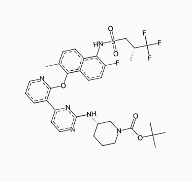 Cc1ccc2c(NS(=O)(=O)C[C@@H](C)C(F)(F)F)c(F)ccc2c1Oc1ncccc1-c1ccnc(N[C@H]2CCCN(C(=O)OC(C)(C)C)C2)n1